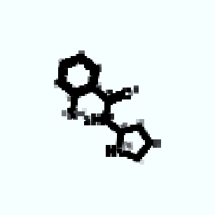 Nc1ccccc1C(=O)NC1CCCN1